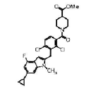 COC(=O)C1CCN(C(=O)c2ccc(Cl)c(Cc3cc4c(F)cc(C5CC5)cc4n3C)c2Cl)CC1